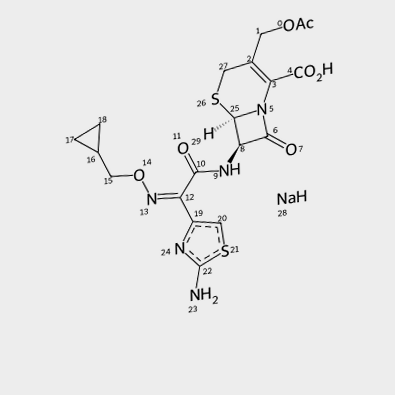 CC(=O)OCC1=C(C(=O)O)N2C(=O)[C@@H](NC(=O)/C(=N\OCC3CC3)c3csc(N)n3)[C@H]2SC1.[NaH]